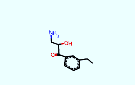 CCc1cccc(C(=O)C(O)CN)c1